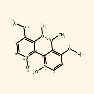 COc1cc[n+]([O-])c(-c2c(OC)c(OC)cc[n+]2[O-])c1OC